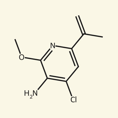 C=C(C)c1cc(Cl)c(N)c(OC)n1